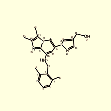 Cc1cccc(C)c1CNc1cc(-n2cc(CO)cn2)cn2c(C)c(C)nc12